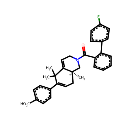 CC1(C)C(c2ccc(C(=O)O)cc2)=CC[C@]2(C)CN(C(=O)c3ccccc3-c3ccc(F)cc3)CC=C12